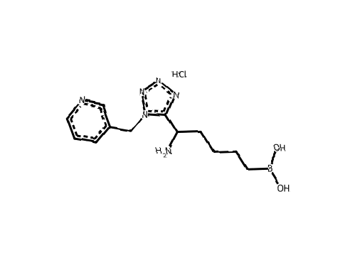 Cl.NC(CCCCB(O)O)c1nnnn1Cc1cccnc1